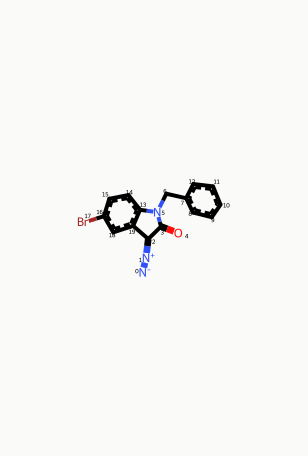 [N-]=[N+]=C1C(=O)N(Cc2ccccc2)c2ccc(Br)cc21